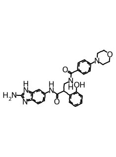 Nc1nc2ccc(NC(=O)C(CNC(=O)c3ccc(N4CCOCC4)cc3)c3ccccc3O)cc2[nH]1